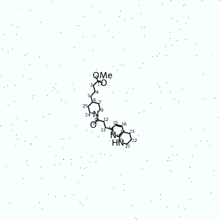 COC(=O)CCCC1CCN(C(=O)CCc2ccc3c(n2)NCCC3)CC1